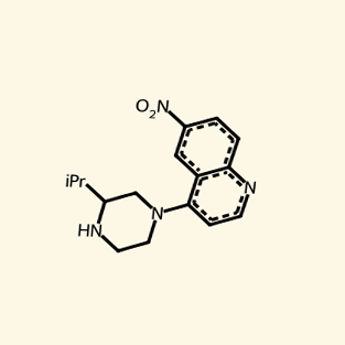 CC(C)C1CN(c2ccnc3ccc([N+](=O)[O-])cc23)CCN1